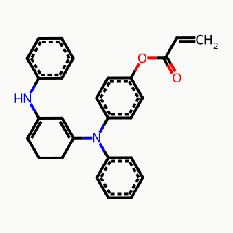 C=CC(=O)Oc1ccc(N(C2=CC(Nc3ccccc3)=CCC2)c2ccccc2)cc1